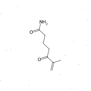 C=C(C)C(=O)CCCC(N)=O